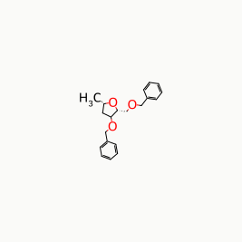 C[C@H]1CC(OCc2ccccc2)[C@@H](COCc2ccccc2)O1